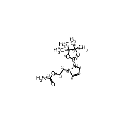 CC1(C)OB(N2CC=CN2CCOC(N)=O)OC1(C)C